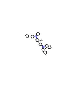 CC1(C)c2cc(N(c3ccccc3)c3ccc(-c4ccccc4)cc3)ccc2-c2ccc(-n3c4ccc5ccccc5c4c4c5ccccc5ccc43)cc21